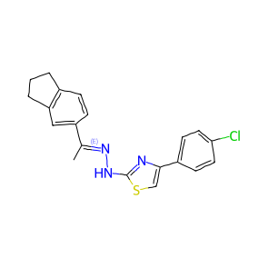 C/C(=N\Nc1nc(-c2ccc(Cl)cc2)cs1)c1ccc2c(c1)CCC2